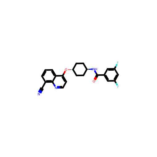 N#Cc1cccc2c(O[C@H]3CC[C@H](NC(=O)c4cc(F)cc(F)c4)CC3)ccnc12